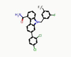 NC(=O)c1cccc2c1c1[c]cc(-c3ccc(Cl)cc3Cl)cc1n2Cc1cc(F)cc(C(F)(F)F)c1